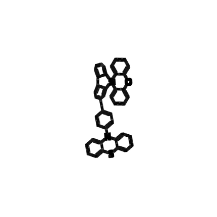 c1ccc2c(c1)Oc1ccccc1[Si]21c2ccccc2-c2ccc(-c3ccc(N4c5ccccc5Sc5ccccc54)cc3)cc21